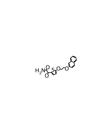 NC(=O)C(=O)c1ccc(OCCOc2ccc3ccccc3c2)s1